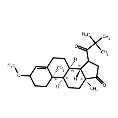 COC1C=C2CC[C@@H]3[C@@H](CC[C@]4(C)C(=O)CC(C(=O)C(C)(C)C)[C@@H]34)[C@@]2(C)CC1